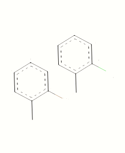 Cc1ccccc1Br.Cc1ccccc1Cl